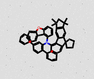 CC1(C)CC(C)(C)c2cc3c(cc21)-c1c(N(c2cc(-c4ccccc4)ccc2-c2ccccc2)c2cccc4oc5ccccc5c24)cccc1C31CCCC1